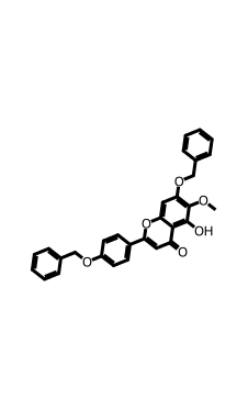 COc1c(OCc2ccccc2)cc2oc(-c3ccc(OCc4ccccc4)cc3)cc(=O)c2c1O